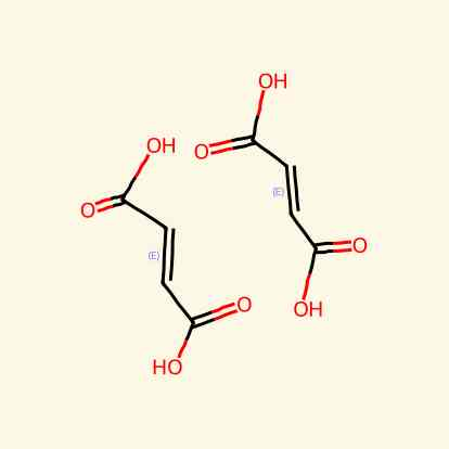 O=C(O)/C=C/C(=O)O.O=C(O)/C=C/C(=O)O